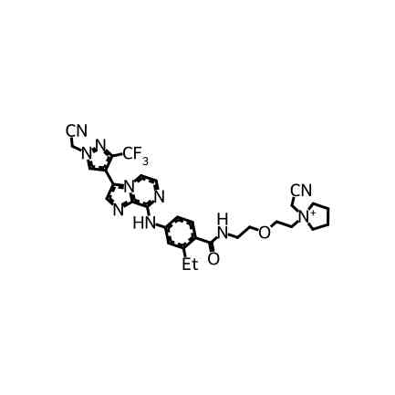 CCc1cc(Nc2nccn3c(-c4cn(CC#N)nc4C(F)(F)F)cnc23)ccc1C(=O)NCCOCC[N+]1(CC#N)CCCC1